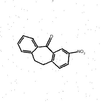 O=C1c2ccccc2CCc2ccc([N+](=O)[O-])cc21